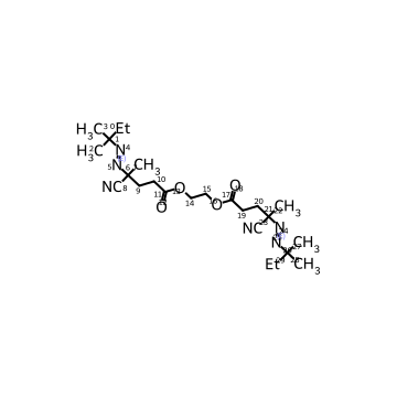 CCC(C)(C)/N=N/C(C)(C#N)CCC(=O)OCCOC(=O)CCC(C)(C#N)/N=N/C(C)(C)CC